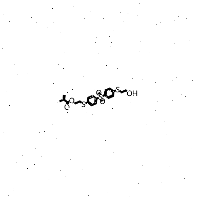 C=C(C)C(=O)OCCSc1ccc(S(=O)(=O)c2ccc(SCCO)cc2)cc1